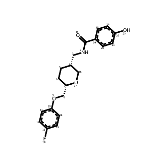 O=C(NC[C@H]1CC[C@@H](COc2ccc(F)cc2)OC1)c1ccc(O)cc1